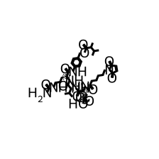 CC(C)C(C)C(=O)OCc1ccc(NC(=O)[C@H](CCCNC(N)=O)NC(=O)C(NC(=O)[C@H](CS(=O)(=O)O)NC(=O)CCCCCN2C(=O)C=CC2=O)C(C)C)cc1